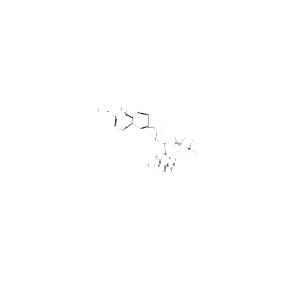 CC(C)(C)[Si](C)(C)OC(COc1ccc2nc(Cl)ccc2c1)c1nn[nH]n1